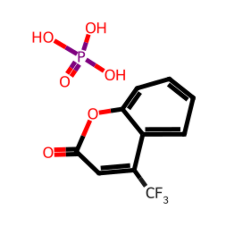 O=P(O)(O)O.O=c1cc(C(F)(F)F)c2ccccc2o1